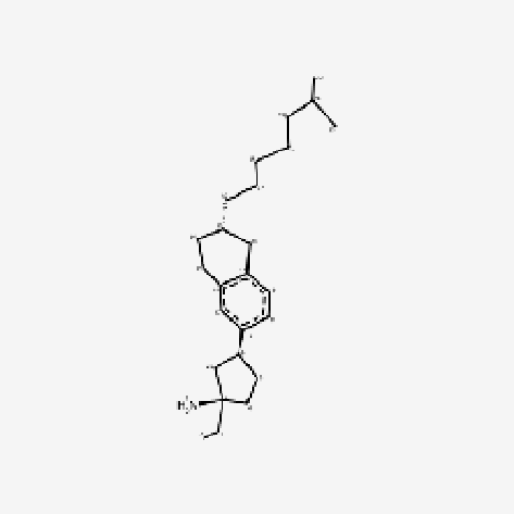 CC[C@@]1(N)CC[C@H](c2ccc3c(c2)CC[C@H](CCCCCC(C)C)C3)C1